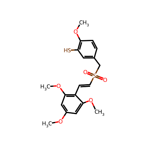 COc1cc(OC)c(C=CS(=O)(=O)Cc2ccc(OC)c(S)c2)c(OC)c1